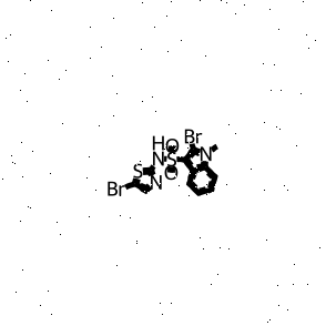 Cn1c(Br)c(S(=O)(=O)Nc2ncc(Br)s2)c2ccccc21